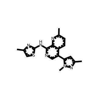 Cc1csc(Nc2ncc(-c3cc(C)nn3C)c3ccc(C)nc23)n1